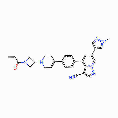 C=CC(=O)N1CC(N2CC=C(c3ccc(-c4cc(-c5cnn(C)c5)cn5ncc(C#N)c45)cc3)CC2)C1